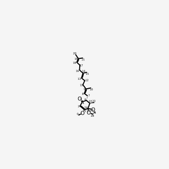 COC1=CC(=O)[C@H](C/C=C(\C)CC/C=C(\C)CCC=C(C)C)[C@@H](C)C1(OC)OC